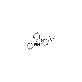 CC(C)(C)c1ccc(NC(c2ccccc2)c2ccccc2)nc1